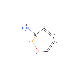 NC1=POC=CC=C1